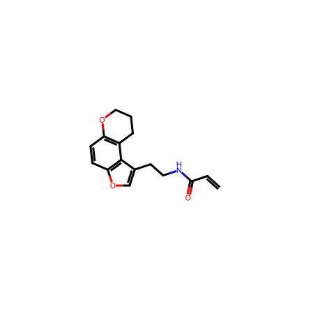 C=CC(=O)NCCc1coc2ccc3c(c12)CCCO3